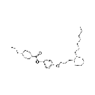 CCCCCCCC1CCCCC1CCCOc1ccc(OC(=O)C2CCC(CCC)CC2)cc1